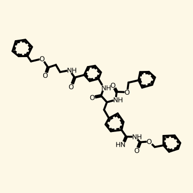 N=C(NC(=O)OCc1ccccc1)c1ccc(CC(NC(=O)OCc2ccccc2)C(=O)Nc2cccc(C(=O)NCCC(=O)OCc3ccccc3)c2)cc1